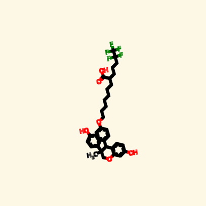 CC1(c2ccc(O)cc2)COc2cc(O)ccc2C1c1ccc(OCCCCCCCC(CCCC(F)(F)C(F)(F)F)C(=O)O)cc1